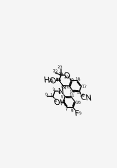 CC(O)CN(c1ccc(F)cc1)[C@H]1c2cc(C#N)ccc2OC(C)(C)[C@@H]1O